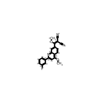 COC(=C(C#N)C#N)c1ccc2c(OC)cc(-c3cccc(F)c3)nc2c1